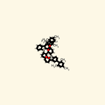 Cc1cc(C)c(-c2ccc3c(c2)c2ccccc2n3-c2ccc(-c3cc(C(F)(F)F)cc(C(F)(F)F)c3)cc2-c2c(C#N)cccc2-n2c3ccccc3c3cc(-c4c(C)cc(C)cc4C)ccc32)c(C)c1